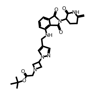 C=C1CCC(N2C(=O)c3cccc(NCc4cnn(C5CN(CC(=O)OC(C)(C)C)C5)c4)c3C2=O)C(=O)N1